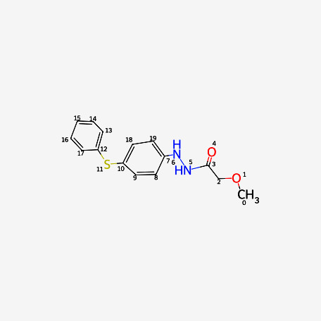 COCC(=O)NNc1ccc(Sc2ccccc2)cc1